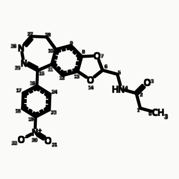 CCC(=O)NCC1Oc2cc3c(cc2O1)C(c1ccc([N+](=O)[O-])cc1)=NN=CC3